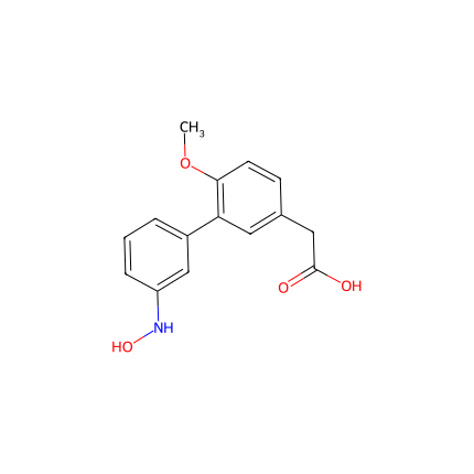 COc1ccc(CC(=O)O)cc1-c1cccc(NO)c1